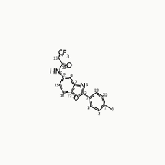 Cc1ccc(-c2nc3cc(NC(=O)CC(F)(F)F)ccc3o2)cc1